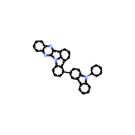 c1ccc(-n2c3ccccc3c3cc(-c4cccc5c4c4cccc6c7nc8ccccc8nc7n5c64)ccc32)cc1